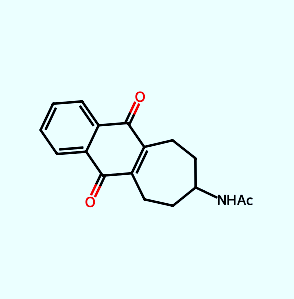 CC(=O)NC1CCC2=C(CC1)C(=O)c1ccccc1C2=O